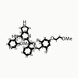 COCCOc1cc(F)c(Cn2nc(-c3nc4c(c(Nc5ccncc5OC)n3)CNC4)c3ccccc32)c(F)c1